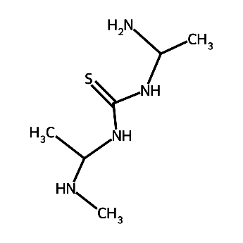 CNC(C)NC(=S)NC(C)N